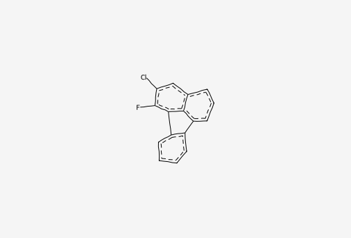 Fc1c(Cl)cc2cccc3c2c1-c1ccccc1-3